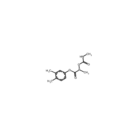 CNC(=O)ON(C)C(=O)Oc1ccc(C)c(C)c1